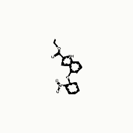 CCOC(=O)c1cc2c(Oc3ccccc3[N+](=O)[O-])cccc2[nH]1